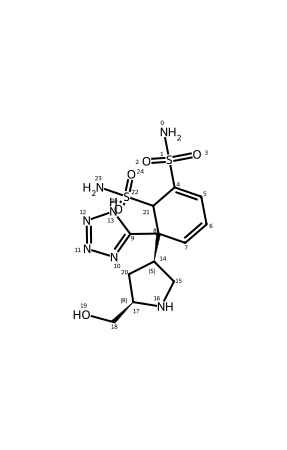 NS(=O)(=O)C1=CC=CC(c2nnn[nH]2)([C@H]2CN[C@@H](CO)C2)C1S(N)(=O)=O